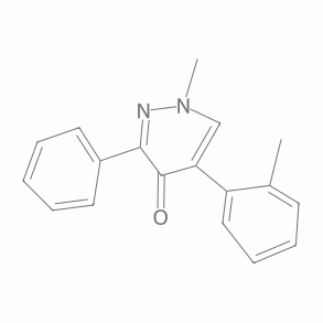 Cc1ccccc1-c1cn(C)nc(-c2ccccc2)c1=O